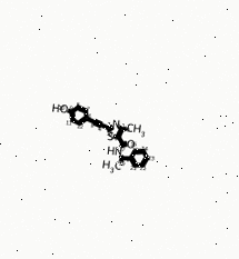 Cc1nc(C#Cc2ccc(O)cc2)sc1C(=O)NC(C)c1ccccc1